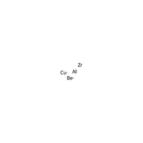 [Al].[Be].[Cu].[Zr]